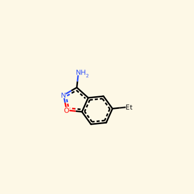 CCc1ccc2onc(N)c2c1